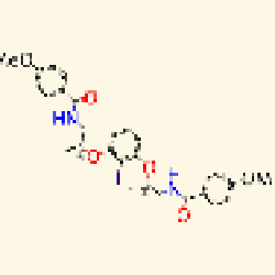 COc1ccc(C(=O)NC[C@H](C)Oc2cccc(O[C@@H](C)CNC(=O)c3ccc(OC)cc3)c2I)cc1